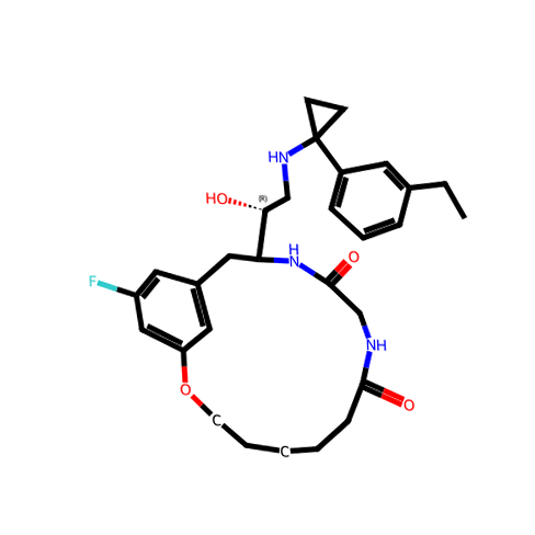 CCc1cccc(C2(NC[C@@H](O)C3Cc4cc(F)cc(c4)OCCCCCC(=O)NCC(=O)N3)CC2)c1